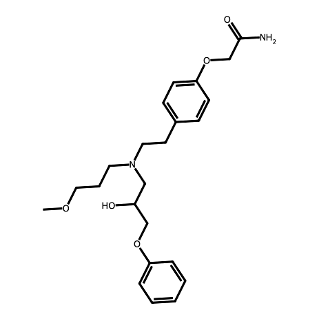 COCCCN(CCc1ccc(OCC(N)=O)cc1)CC(O)COc1ccccc1